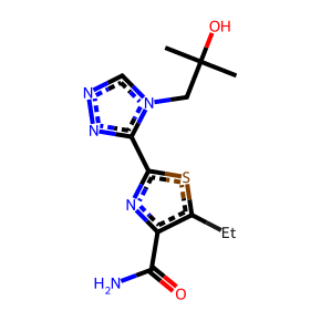 CCc1sc(-c2nncn2CC(C)(C)O)nc1C(N)=O